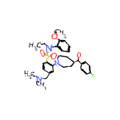 CCN(c1ccccc1OC)S(=O)(=O)c1ccc(CN(C)C)cc1N1CCC(C(=O)c2ccc(F)cc2)CC1